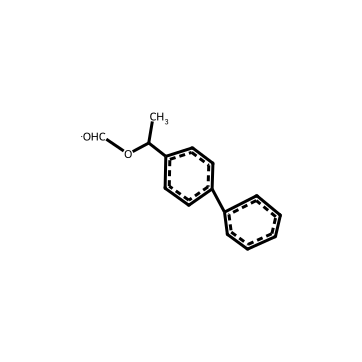 CC(O[C]=O)c1ccc(-c2ccccc2)cc1